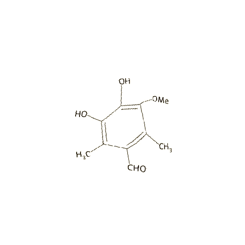 COc1c(C)c([C]=O)c(C)c(O)c1O